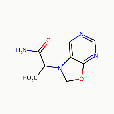 NC(=O)C(C(=O)O)N1COc2ncncc21